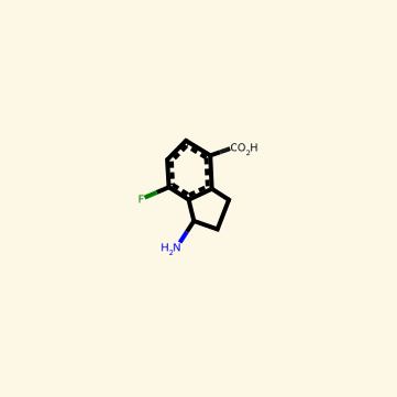 NC1CCc2c(C(=O)O)ccc(F)c21